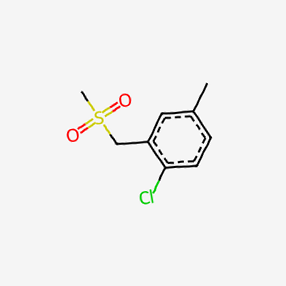 Cc1ccc(Cl)c(CS(C)(=O)=O)c1